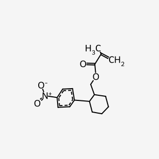 C=C(C)C(=O)OCC1CCCCC1c1ccc([N+](=O)[O-])cc1